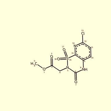 COC(=O)CN1C(=O)Nc2ccc(Cl)nc2S1(=O)=O